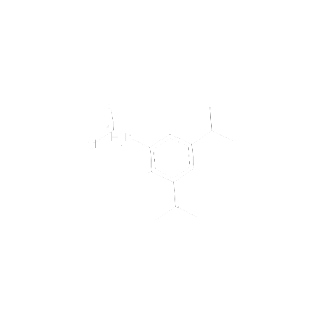 CC(C)c1cc(P)cc(C(C)C)c1.Cl[CH2][Pd]